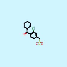 O=C(c1ccc(C[SH](=O)=O)cc1Cl)C1CCCCC1